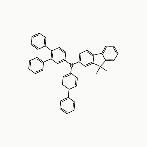 CC1(C)c2ccccc2-c2ccc(N(C3=CCC(c4ccccc4)C=C3)c3ccc(-c4ccccc4)c(-c4ccccc4)c3)cc21